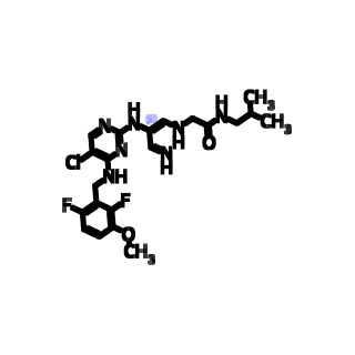 COc1ccc(F)c(CNc2nc(N/C(C=N)=C/NCC(=O)NCC(C)C)ncc2Cl)c1F